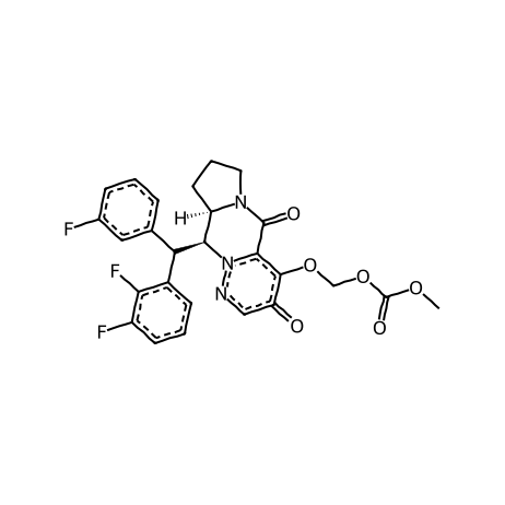 COC(=O)OCOc1c2n(ncc1=O)[C@@H](C(c1cccc(F)c1)c1cccc(F)c1F)[C@H]1CCCN1C2=O